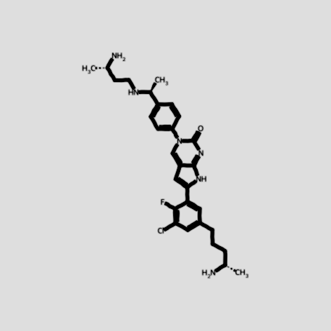 C[C@H](N)CCCc1cc(Cl)c(F)c(-c2cc3cn(-c4ccc([C@H](C)NCC[C@H](C)N)cc4)c(=O)nc3[nH]2)c1